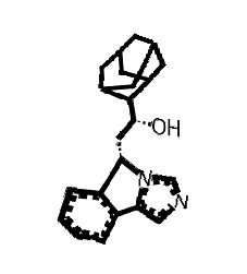 O[C@H](C[C@H]1c2ccccc2-c2cncn21)C1C2CC3CC(C2)CC1C3